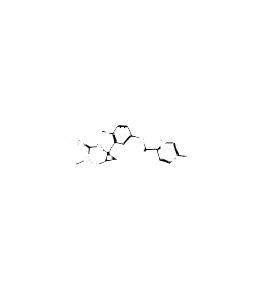 CN1C(=N)NC2(c3cc(NC(=O)c4ccc(Cl)cn4)ccc3F)CC2S1(=O)=O